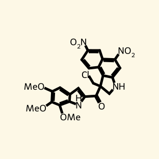 COc1cc2cc(C(=O)C3(CCl)CNc4cc([N+](=O)[O-])c5cc([N+](=O)[O-])ccc5c43)[nH]c2c(OC)c1OC